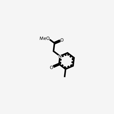 COC(=O)Cn1cccc(C)c1=O